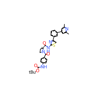 Cc1cc(-c2cccc(-c3csc(NC(=O)[C@@H]4CCN4C(=O)c4ccc(NC(=O)OC(C)(C)C)cc4)n3)c2)cc(C)n1